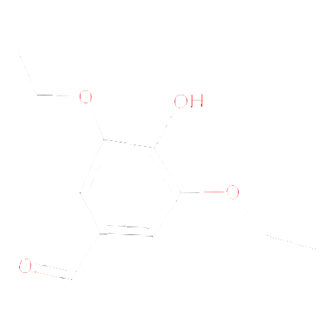 CCOc1cc(C=O)cc(OCC)c1O